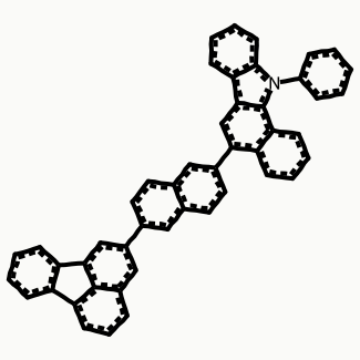 c1ccc(-n2c3ccccc3c3cc(-c4ccc5cc(-c6cc7c8c(cccc8c6)-c6ccccc6-7)ccc5c4)c4ccccc4c32)cc1